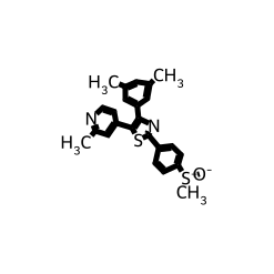 Cc1cc(C)cc(-c2nc(-c3ccc([S+](C)[O-])cc3)sc2-c2ccnc(C)c2)c1